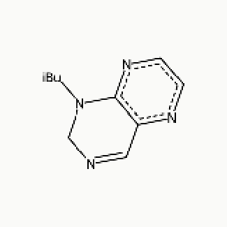 CCC(C)N1CN=Cc2nccnc21